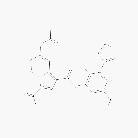 CC(=O)c1cc(C(=O)Nc2cc(CO)cc(-c3ccoc3)c2F)c2cc(OC(N)=O)ccn12